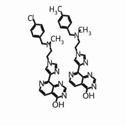 CN(CCn1cnc(-c2nccc3c(O)ncnc23)c1)Cc1ccc(Cl)cc1.Cc1ccc(CN(C)CCn2cnc(-c3nccc4c(O)ncnc34)c2)cc1